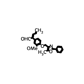 C=C/C=C(/C=O)c1ccc(OCc2nc(-c3ccccc3)oc2C)c(OC)c1